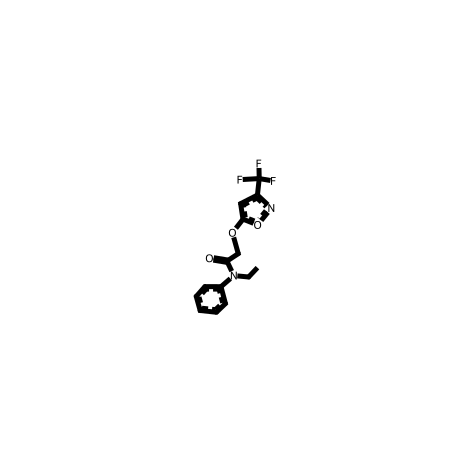 CCN(C(=O)COc1cc(C(F)(F)F)no1)c1ccccc1